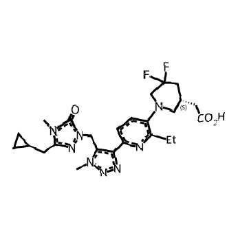 CCc1nc(-c2nnn(C)c2Cn2nc(CC3CC3)n(C)c2=O)ccc1N1C[C@@H](CC(=O)O)CC(F)(F)C1